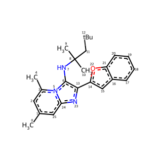 Cc1cc(C)n2c(NC(C)(C)CC(C)(C)C)c(-c3cc4ccccc4o3)nc2c1